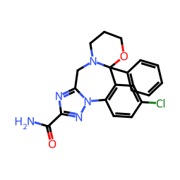 NC(=O)c1nc2n(n1)-c1ccc(Cl)cc1C1(c3ccccc3)OCCCN1C2